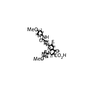 COc1ccc(NC(=O)C2CN(c3nc4c(cc3F)c(=O)c(C(=O)O)cn4-c3nc(OC)ns3)C2)nc1